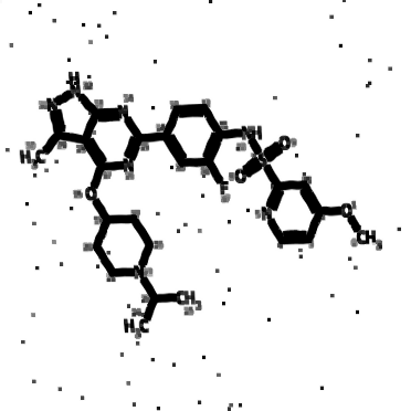 COc1ccnc(S(=O)(=O)Nc2ccc(-c3nc(OC4CCN(C(C)C)CC4)c4c(C)n[nH]c4n3)cc2F)c1